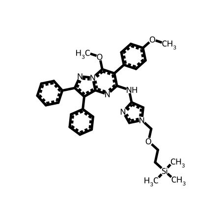 COc1ccc(-c2c(Nc3cn(COCC[Si](C)(C)C)cn3)nc3c(-c4ccccc4)c(-c4ccccc4)nn3c2OC)cc1